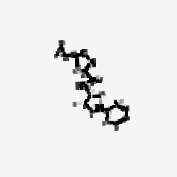 C[C@H]1CN(c2ncccn2)C[C@@H]1NC(=O)c1cc(C2CC2)on1